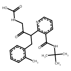 Cc1ccccc1CC(C(=O)CNC(=O)O)c1ncccc1C(=O)NC(C)(C)C